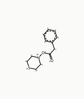 O=C(Cc1ccccc1)ON1CCSCC1